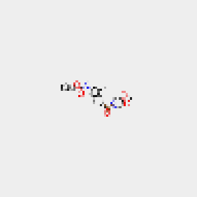 Cc1cc(N(C)C(=O)OC(C)(C)C)cc(C)c1CC(C)[S@+]([O-])N1CCC2(CC1)OCCO2